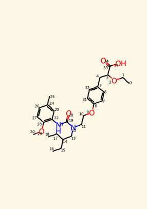 CCOC(Cc1ccc(OCCN(CC(CC)CC)C(=O)Nc2cc(C)ccc2OC)cc1)C(=O)O